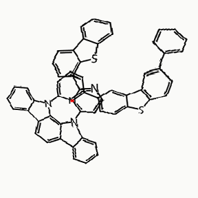 c1ccc(-c2ccc3sc4ccc(-c5cccc(-n6c7ccccc7c7ccc8c9ccccc9n(-c9ccnc(-c%10cccc%11c%10sc%10ccccc%10%11)n9)c8c76)c5)cc4c3c2)cc1